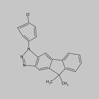 CC1(C)c2ccccc2-c2cc3c(cc21)nnn3-c1ccc(Cl)cc1